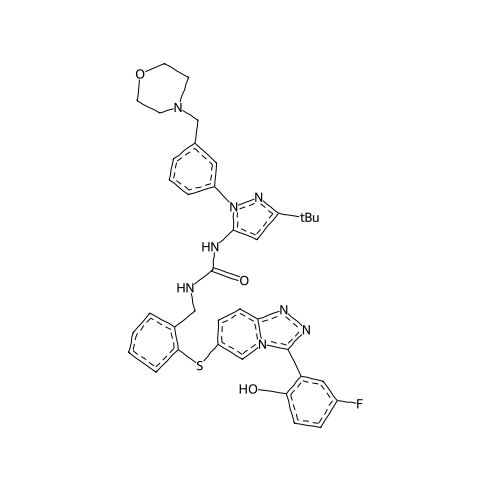 CC(C)(C)c1cc(NC(=O)NCc2ccccc2Sc2ccc3nnc(-c4cc(F)ccc4O)n3c2)n(-c2cccc(CN3CCOCC3)c2)n1